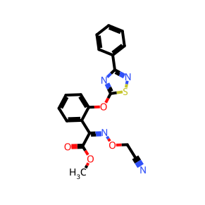 COC(=O)C(=NOCC#N)c1ccccc1Oc1nc(-c2ccccc2)ns1